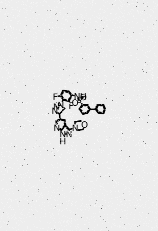 O=S(=O)(Nc1ccc(F)c(N2CC(c3cnc4[nH]nc(N5CCOCC5)c4c3)N=N2)c1F)c1cccc(-c2ccccc2)c1